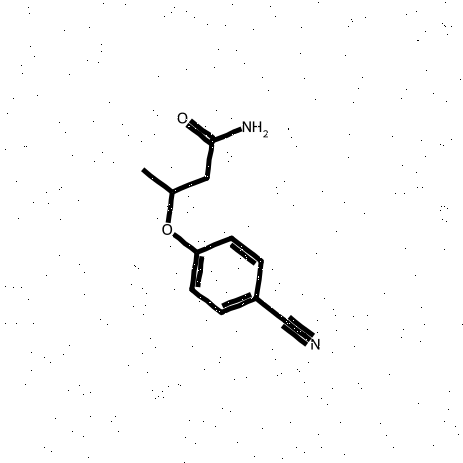 CC(CC(N)=O)Oc1ccc(C#N)cc1